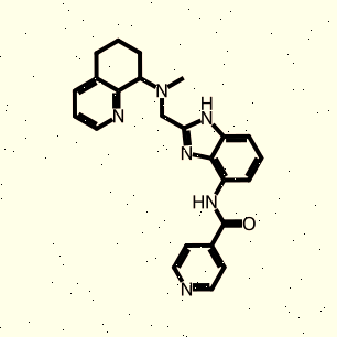 CN(Cc1nc2c(NC(=O)c3ccncc3)cccc2[nH]1)C1CCCc2cccnc21